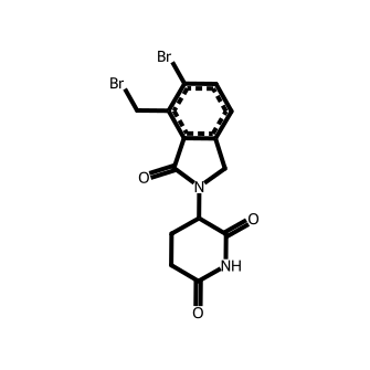 O=C1CCC(N2Cc3ccc(Br)c(CBr)c3C2=O)C(=O)N1